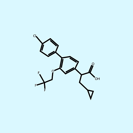 O=C(O)C(CC1CC1)c1ccc(-c2ccc(Cl)cc2)c(OCC(F)(F)F)c1